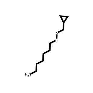 NCCCCCCSSCC1CC1